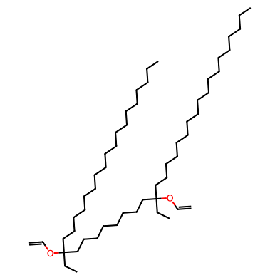 C=COC(CC)(CCCCCCCCCCCCCCCCCC)CCCCCCCCC(CC)(CCCCCCCCCCCCCCCCCC)OC=C